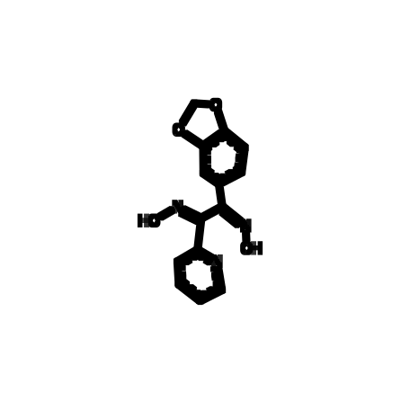 ON=C(C(=NO)c1ccccn1)c1ccc2c(c1)OCO2